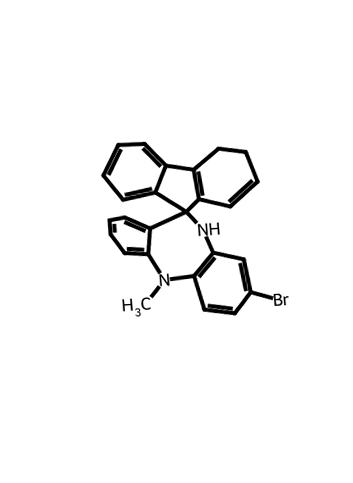 CN1c2ccc(Br)cc2NC2(C3=C(CCC=C3)c3ccccc32)c2ccccc21